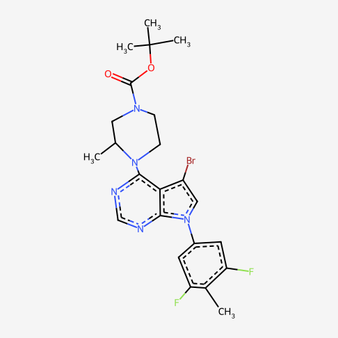 Cc1c(F)cc(-n2cc(Br)c3c(N4CCN(C(=O)OC(C)(C)C)CC4C)ncnc32)cc1F